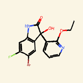 CCOc1ncccc1C1(O)C(=O)Nc2cc(F)c(Br)cc21